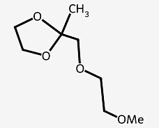 COCCOCC1(C)OCCO1